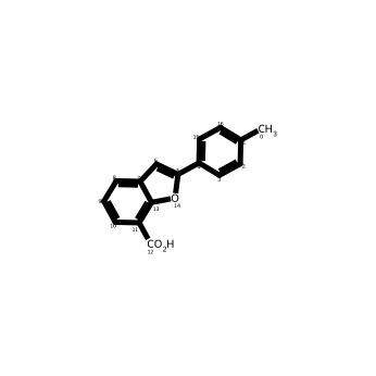 Cc1ccc(-c2cc3cccc(C(=O)O)c3o2)cc1